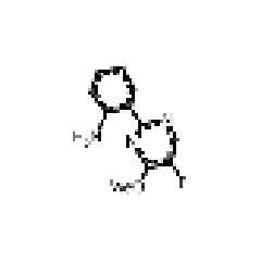 COc1nc(-c2ccccc2N)ncc1F